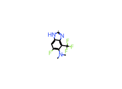 CN(C)c1c(F)cc2[nH][c]nc2c1C(F)(F)F